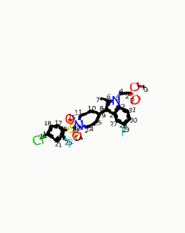 COC(=O)Cn1c(C)c(C2CCN(S(=O)(=O)c3ccc(Cl)cc3F)CC2)c2cc(F)ccc21